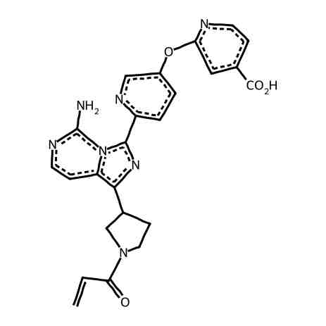 C=CC(=O)N1CCC(c2nc(-c3ccc(Oc4cc(C(=O)O)ccn4)cn3)n3c(N)nccc23)C1